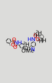 [2H]C([2H])(c1ccc(C(=O)NS(=O)(=O)c2ccccc2C)cc1OC)c1cn(C)c2ccc(NC(=O)OC3C([2H])([2H])CCC3([2H])[2H])cc12